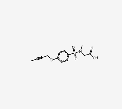 CC#CCOc1ccc(S(=O)(=O)N(C)CC(=O)O)cc1